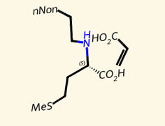 C=CC(=O)O.CCCCCCCCCCCN[C@@H](CCSC)C(=O)O